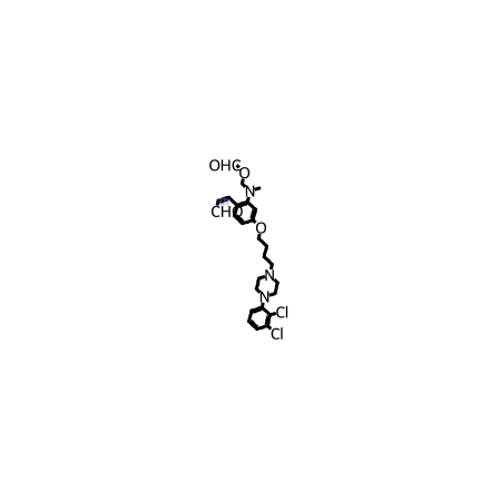 CN(COC=O)c1cc(OCCCCN2CCN(c3cccc(Cl)c3Cl)CC2)ccc1/C=C\C=O